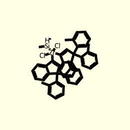 Cc1ccccc1C1(c2ccccc2C)C=[C]([Zr]([Cl])([Cl])([C]2=CC(c3ccccc3C)(c3ccccc3C)c3ccccc32)[SiH](C)C)c2ccccc21